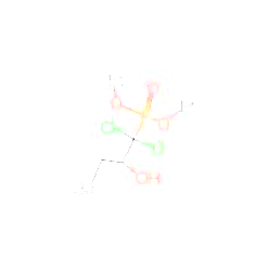 CCOP(=O)(OCC)C(Cl)(Cl)C(O)CC(C)CC